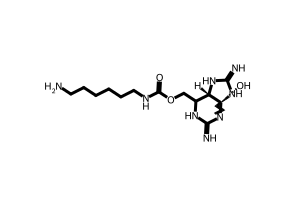 N=C1N[C@H]2C(COC(=O)NCCCCCCN)NC(=N)N3CC[C@H](O)[C@]23N1